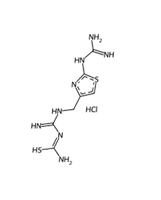 Cl.N=C(N)Nc1nc(CNC(=N)N=C(N)S)cs1